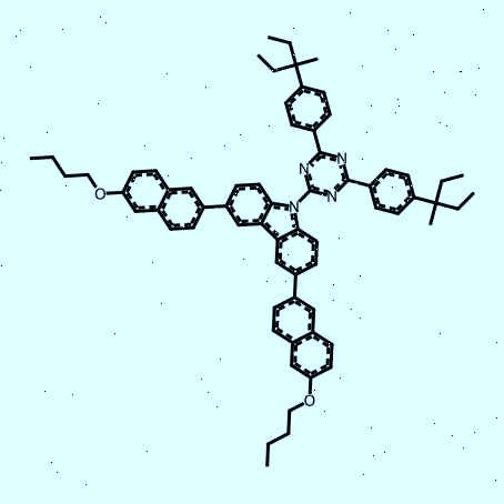 CCCCOc1ccc2cc(-c3ccc4c(c3)c3cc(-c5ccc6cc(OCCCC)ccc6c5)ccc3n4-c3nc(-c4ccc(C(C)(CC)CC)cc4)nc(-c4ccc(C(C)(CC)CC)cc4)n3)ccc2c1